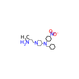 CC(N)CCN1CCC(N(Cc2ccccc2)c2ccc([N+](=O)[O-])cc2)CC1